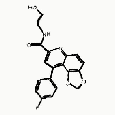 O=C(NCCO)c1cc(-c2ccc(F)cc2)c2c3c(ccc2n1)OCO3